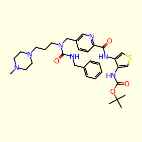 CN1CCN(CCCN(Cc2ccc(C(=O)Nc3cscc3NC(=O)OC(C)(C)C)nc2)C(=O)NCc2ccccc2)CC1